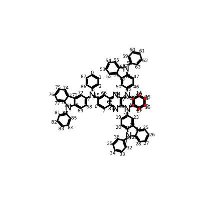 c1ccc(N(c2ccc3nc(N(c4ccccc4)c4ccc5c(c4)c4ccccc4n5-c4ccccc4)c(N(c4ccccc4)c4ccc5c(c4)c4ccccc4n5-c4ccccc4)nc3c2)c2ccc3c(c2)c2ccccc2n3-c2ccccc2)cc1